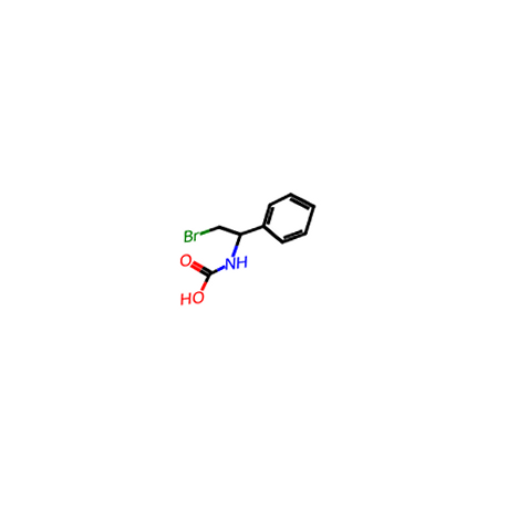 O=C(O)NC(CBr)c1ccccc1